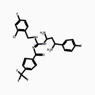 NC(CC(N)c1ccc(F)cc1)N/C(=N\C(=O)c1ccc(C(F)(F)F)cc1)NCc1ccc(F)cc1Cl